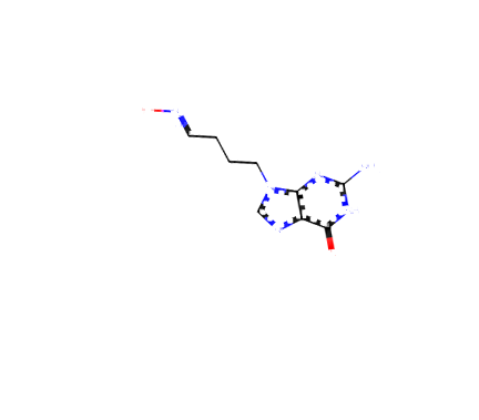 Nc1nc2c(ncn2CCC/C=N/O)c(=O)[nH]1